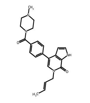 CC=CCn1cc(-c2ccc(C(=O)N3CCN(C)CC3)cc2)c2cc[nH]c2c1=O